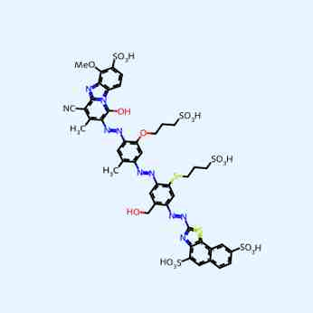 COc1c(S(=O)(=O)O)ccc2c1nc1c(C#N)c(C)c(N=Nc3cc(C)c(N=Nc4cc(CO)c(N=Nc5nc6c(S(=O)(=O)O)cc7ccc(S(=O)(=O)O)cc7c6s5)cc4SCCCS(=O)(=O)O)cc3OCCCS(=O)(=O)O)c(O)n12